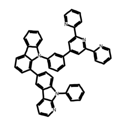 c1ccc(-n2c3ccc(-c4cccc5c6ccccc6n(-c6cccc(-c7cc(-c8ccccn8)nc(-c8ccccn8)c7)c6)c45)cc3c3cccnc32)cc1